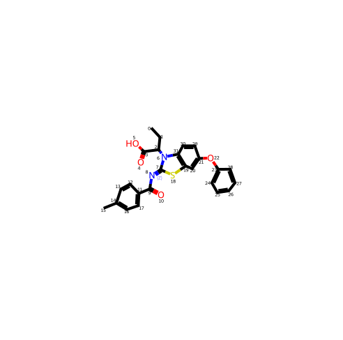 CCC(C(=O)O)n1/c(=N/C(=O)c2ccc(C)cc2)sc2cc(Oc3ccccc3)ccc21